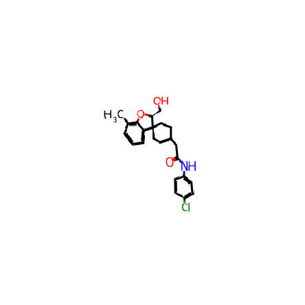 Cc1cccc2c1O[C@@H](CO)C21CCC(CC(=O)Nc2ccc(Cl)cc2)CC1